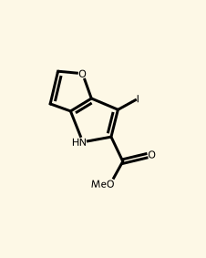 COC(=O)c1[nH]c2ccoc2c1I